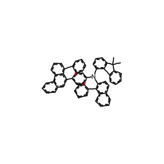 CC1(C)c2ccccc2-c2c(N(c3ccc(-c4cc5ccccc5c5cccc(-c6ccccc6)c45)cc3)c3ccc4ccccc4c3-c3ccccc3)cccc21